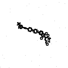 CNC(=O)C(CCC=O)N1C(=O)c2ccc(N3CCN(C4CCC(C#Cc5cnn(C(C)(C)C)c5)CC4)CC3)cc2C1=O